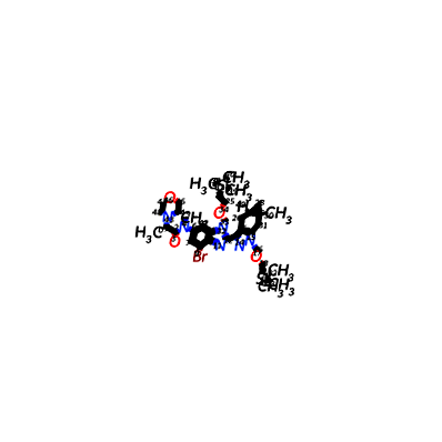 C[C@@H](C(=O)N(C)c1cc(Br)c2nc(-c3nn(COCC[Si](C)(C)C)c4c3C[C@@H]3C[C@]3(C)C4)n(COCC[Si](C)(C)C)c2c1)N1CCOCC1